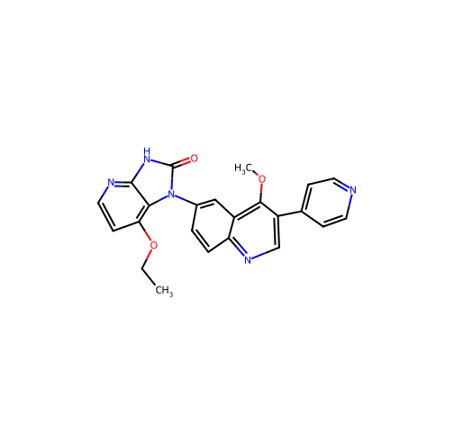 CCOc1ccnc2[nH]c(=O)n(-c3ccc4ncc(-c5ccncc5)c(OC)c4c3)c12